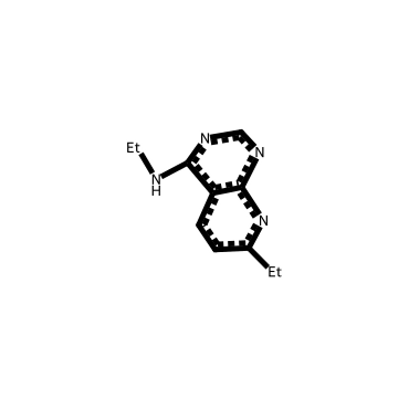 CCNc1ncnc2nc(CC)ccc12